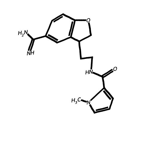 Cn1cccc1C(=O)NCCC1COc2ccc(C(=N)N)cc21